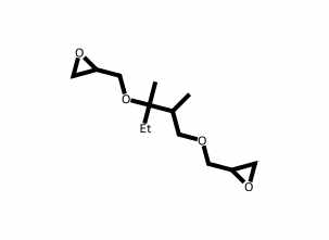 CCC(C)(OCC1CO1)C(C)COCC1CO1